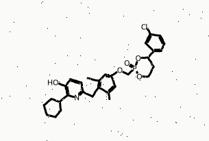 Cc1cc(OCP2(=O)OCCC(c3cccc(Cl)c3)O2)cc(C)c1Cc1ccc(O)c(C2CCCCC2)n1